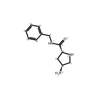 N[C@@H]1CN[C@H](C(=O)NCc2ccccc2)C1